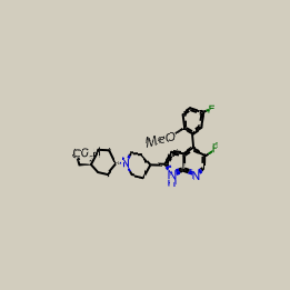 COc1ccc(F)cc1-c1c(F)cnc2[nH]c(C3CCN([C@H]4CC[C@H](CC(=O)O)CC4)CC3)cc12